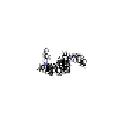 COc1ccc(/C=C/c2cc(C)cc(=O)n2OS(=O)(=O)c2cccc(S(=O)(=O)On3c(/C=C/c4ccc(OC)cc4)cc(C)cc3=O)c2)cc1